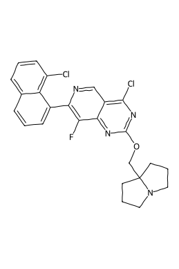 Fc1c(-c2cccc3cccc(Cl)c23)ncc2c(Cl)nc(OCC34CCCN3CCC4)nc12